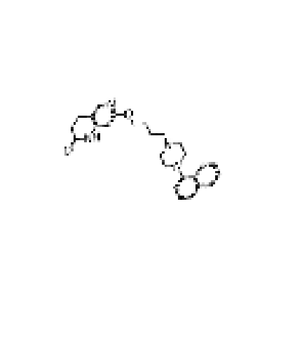 O=C1CCc2cnc(OCCCCN3CCN(c4cccc5ccccc45)CC3)cc2N1